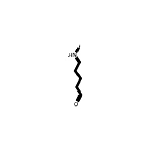 O=CCCCCNI